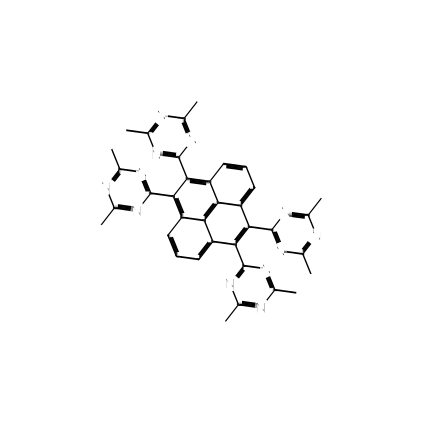 Cc1nc(C)nc(-c2c(-c3nc(C)nc(C)n3)c3cccc4c(-c5nc(C)nc(C)n5)c(-c5nc(C)nc(C)n5)c5cccc2c5c34)n1